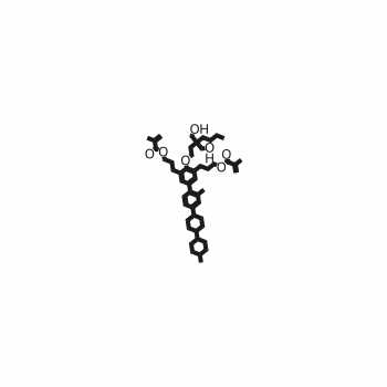 C=C(C)C(=O)OCCCc1cc(-c2ccc(C3CCC(C4CCC(C)CC4)CC3)cc2C)cc(CCCOC(=O)C(=C)C)c1OCCC(CO)(CO)CCCC